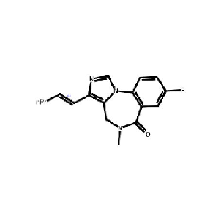 CCC/C=C/c1ncn2c1CN(C)C(=O)c1cc(F)ccc1-2